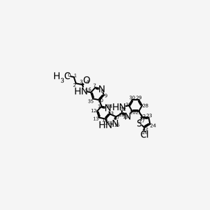 CCCC(=O)Nc1cncc(-c2ccc3[nH]nc(-c4nc5c(-c6ccc(Cl)s6)cccc5[nH]4)c3n2)c1